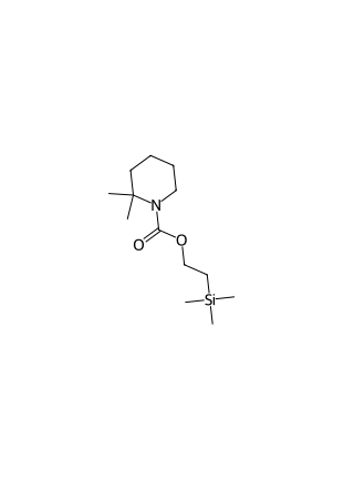 CC1(C)CCCCN1C(=O)OCC[Si](C)(C)C